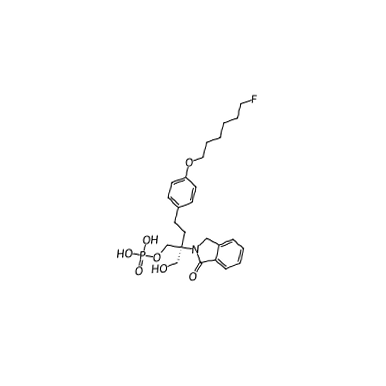 O=C1c2ccccc2CN1[C@](CO)(CCc1ccc(OCCCCCCF)cc1)COP(=O)(O)O